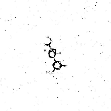 CCOC(=O)c1cc(N2C[C@@H]3C[C@H]2CN3C(=O)OC(C)(C)C)nc(Cl)n1